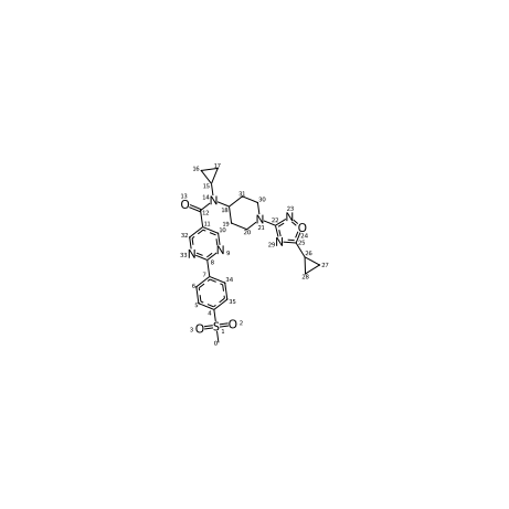 CS(=O)(=O)c1ccc(-c2ncc(C(=O)N(C3CC3)C3CCN(c4noc(C5CC5)n4)CC3)cn2)cc1